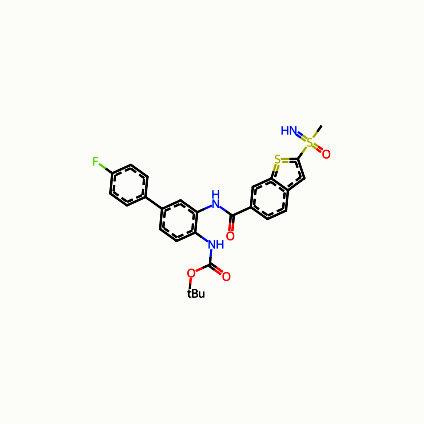 CC(C)(C)OC(=O)Nc1ccc(-c2ccc(F)cc2)cc1NC(=O)c1ccc2cc(S(C)(=N)=O)sc2c1